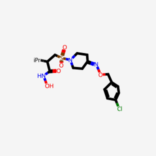 CC(C)C(CS(=O)(=O)N1CCC(=NOCc2ccc(Cl)cc2)CC1)C(=O)NO